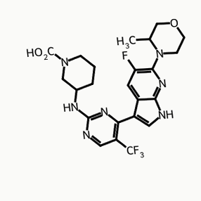 CC1COCCN1c1nc2[nH]cc(-c3nc(NC4CCCN(C(=O)O)C4)ncc3C(F)(F)F)c2cc1F